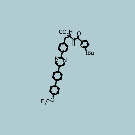 CC(C)(C)c1ccc(C(=O)NC(Cc2ccc(-c3ncc(-c4ccc(-c5ccc(OC(F)(F)F)cc5)cc4)cn3)cc2)C(=O)O)s1